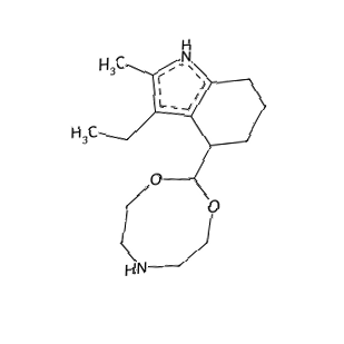 CCc1c(C)[nH]c2c1C(C1OCCNCCO1)CCC2